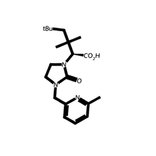 Cc1cccc(CN2CCN([C@H](C(=O)O)C(C)(C)CC(C)(C)C)C2=O)n1